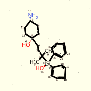 CC(C)(CC[C@]1(O)CC[C@@H](N)CC1)[Si](O)(c1ccccc1)c1ccccc1